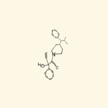 C#CC(O)(C(=O)N1CCC(C([C](C)C)c2ccccc2)CC1)c1ccccc1